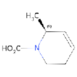 C[C@H]1C=CCCN1C(=O)O